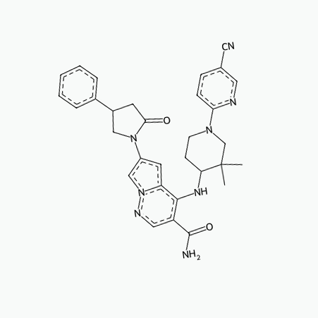 CC1(C)CN(c2ccc(C#N)cn2)CCC1Nc1c(C(N)=O)cnn2cc(N3CC(c4ccccc4)CC3=O)cc12